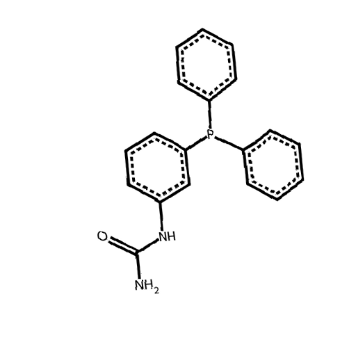 NC(=O)Nc1cccc(P(c2ccccc2)c2ccccc2)c1